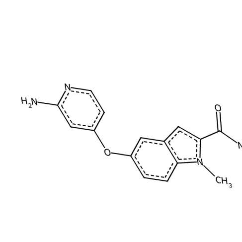 Cn1c(C(N)=O)cc2cc(Oc3ccnc(N)c3)ccc21